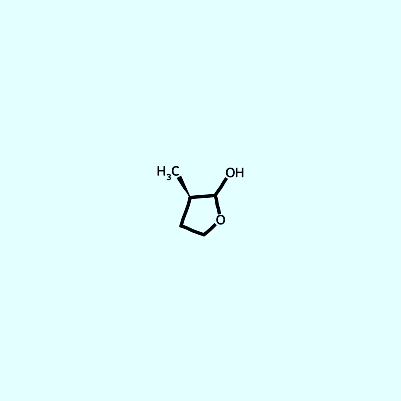 C[C@@H]1CCOC1O